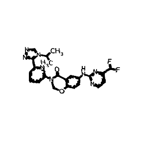 CC(C)n1cnnc1-c1cccc(N2COc3ccc(Nc4nccc(C(F)F)n4)cc3C2=O)n1